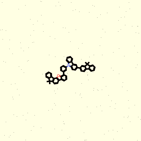 CC1(C)c2ccccc2-c2ccc(-c3ccc4c(c3)c3ccccc3n4-c3cccc(-c4cccc5c4oc4c6c(ccc45)C(C)(C)c4ccccc4-6)c3)cc21